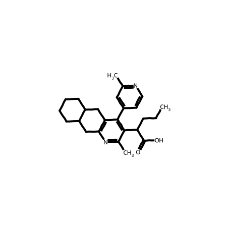 CCCC(C(=O)O)c1c(C)nc2c(c1-c1ccnc(C)c1)CC1CCCCC1C2